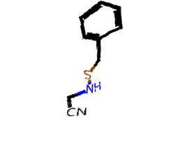 N#CCNSCc1ccccc1